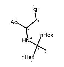 CCCCCCC(C)(CCCCCC)NC(CS)C(C)=O